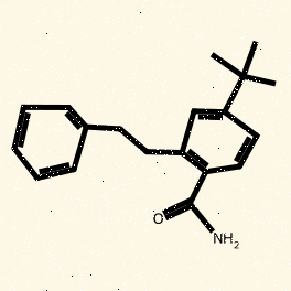 CC(C)(C)c1ccc(C(N)=O)c(CCc2ccccc2)c1